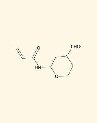 C=CC(=O)NC1CN([C]=O)CCO1